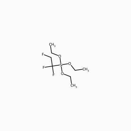 CCO[Si](OCC)(OCC)C(F)(F)CF